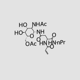 C=CC(=O)NC(CC(=O)N[C@@H]1O[C@H](COC(C)=O)[C@@H](O)[C@H](O)[C@H]1NC(C)=O)C(=O)NCCC